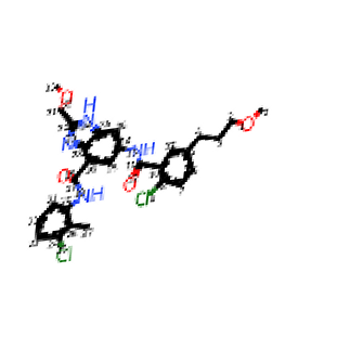 COCCCc1ccc(Cl)c(C(=O)Nc2cc(C(=O)Nc3cccc(Cl)c3C)c3nc(COC)[nH]c3c2)c1